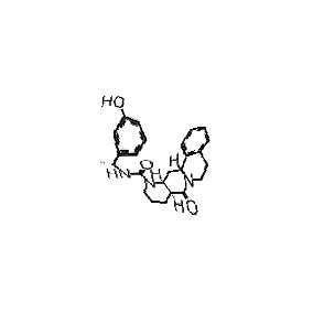 C[C@@H](NC(=O)N1CCC[C@@H]2C(=O)N3CCc4ccccc4[C@H]3C[C@@H]21)c1cccc(O)c1